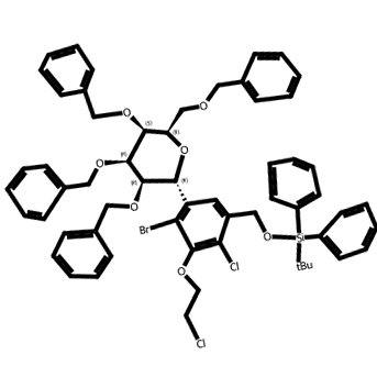 CC(C)(C)[Si](OCc1cc([C@H]2O[C@H](COCc3ccccc3)[C@H](OCc3ccccc3)[C@H](OCc3ccccc3)[C@@H]2OCc2ccccc2)c(Br)c(OCCCl)c1Cl)(c1ccccc1)c1ccccc1